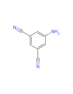 N#Cc1cc(N)cc(C#N)c1